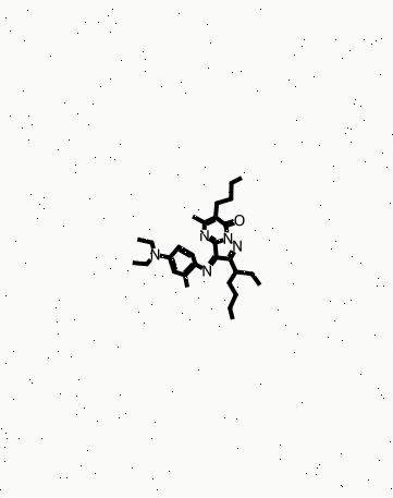 CCCCc1c(C)nc2n(c1=O)N=C(C(CC)CCCC)C2=Nc1ccc(N(CC)CC)cc1C